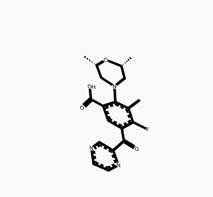 Cc1c(F)c(C(=O)c2cnccn2)cc(C(=O)O)c1N1C[C@@H](C)O[C@@H](C)C1